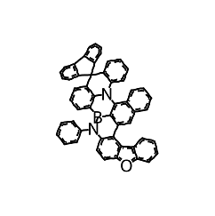 c1ccc(N2B3c4cccc5c4N(c4ccccc4C54c5ccccc5-c5ccccc54)c4c3c(cc3ccccc43)-c3c2ccc2oc4ccccc4c32)cc1